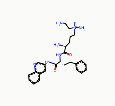 C[N+](N)(CCN)CCC[C@H](N)C(=O)N[C@H](CCc1ccccc1)C(=O)Nc1cnc2ccccc2c1